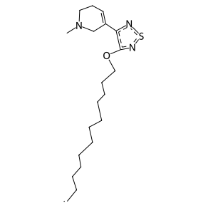 [CH2]CCCCCCCCCCCOc1nsnc1C1=CCCN(C)C1